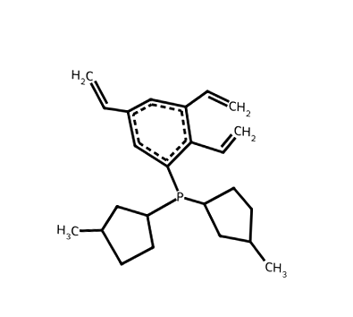 C=Cc1cc(C=C)c(C=C)c(P(C2CCC(C)C2)C2CCC(C)C2)c1